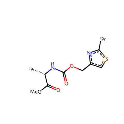 COC(=O)[C@@H](NC(=O)OCc1csc(C(C)C)n1)C(C)C